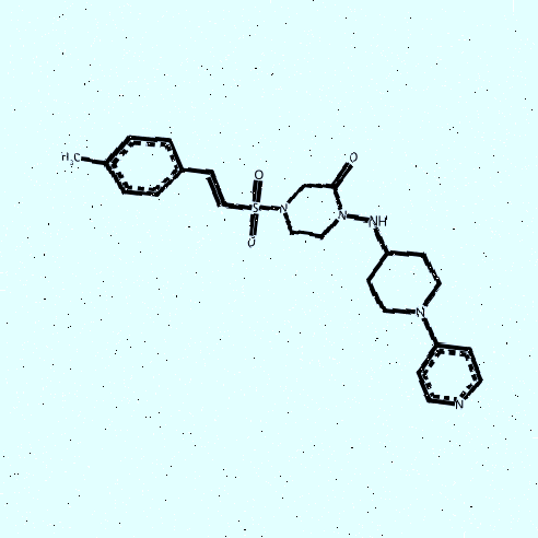 Cc1ccc(C=CS(=O)(=O)N2CCN(NC3CCN(c4ccncc4)CC3)C(=O)C2)cc1